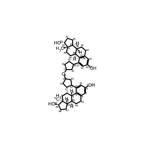 C[C@]12CC[C@@H]3c4c(cc(O)cc4C4CCC(OC5CCC(c6cc(O)cc7c6[C@H]6CC[C@]8(C)[C@H](O)CC[C@H]8[C@@H]6CC7)C5)C4)CC[C@H]3[C@@H]1CC[C@H]2O